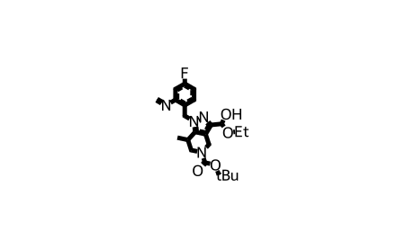 C=Nc1cc(F)ccc1Cn1nc(C(O)OCC)c2c1C(C)CN(C(=O)OC(C)(C)C)C2